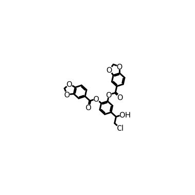 O=C(Oc1ccc(C(O)CCl)cc1OC(=O)c1ccc2c(c1)OCO2)c1ccc2c(c1)OCO2